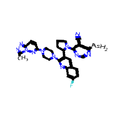 Cc1nnc2ccc(N3CCN(c4nc5cc(F)ccc5cc4C4CCCN4c4ncnc([AsH2])c4C#N)CC3)nn12